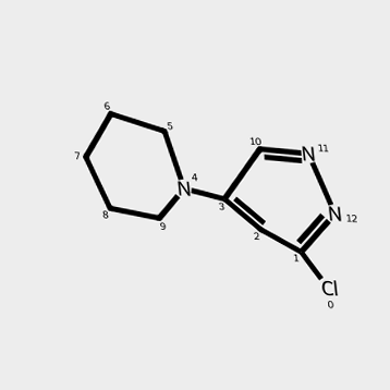 Clc1cc(N2CCCCC2)cnn1